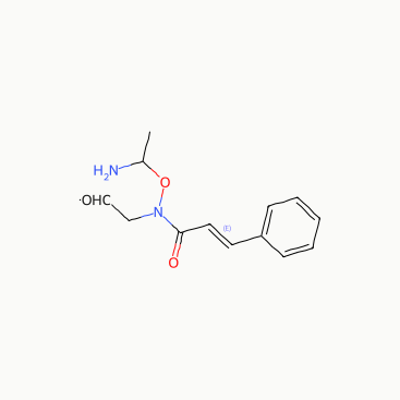 CC(N)ON(C[C]=O)C(=O)/C=C/c1ccccc1